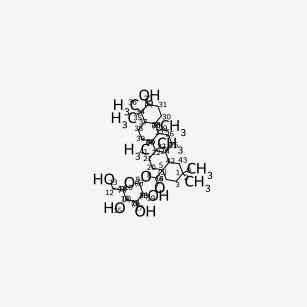 CC1(C)CC[C@]2(C(=O)O[C@@H]3O[C@H](CO)[C@@H](O)[C@H](O)[C@H]3O)CCC3(C)C(=CCC4[C@@]5(C)CC[C@H](O)C(C)(C)C5CC[C@]43C)C2C1